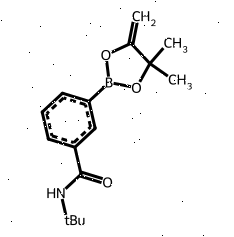 C=C1OB(c2cccc(C(=O)NC(C)(C)C)c2)OC1(C)C